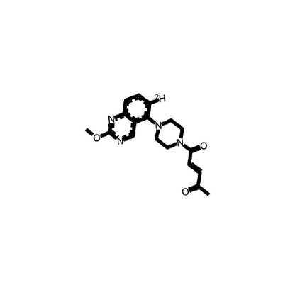 [2H]c1ccc2nc(OC)ncc2c1N1CCN(C(=O)C=CC(C)=O)CC1